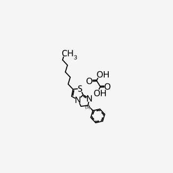 CCCCCCC1=CN2C[C@H](c3ccccc3)N=C2S1.O=C(O)C(=O)O